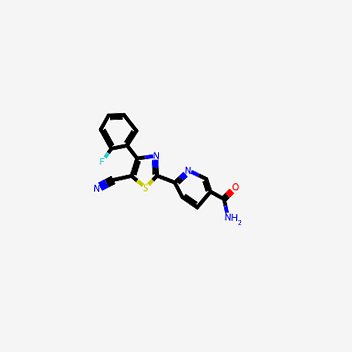 N#Cc1sc(-c2ccc(C(N)=O)cn2)nc1-c1ccccc1F